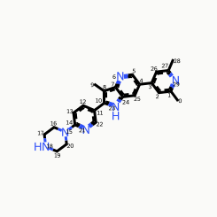 Cc1cc(-c2cnc3c(C)c(-c4ccc(N5CCNCC5)nc4)[nH]c3c2)cc(C)n1